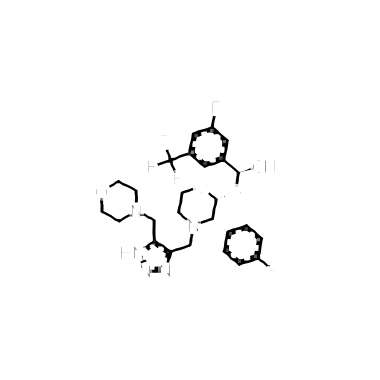 C[C@@H](O[C@H]1OCCN(Cc2nn[nH]c2CN2CCOCC2)[C@H]1c1ccc(F)cc1)c1cc(F)cc(C(F)(F)F)c1